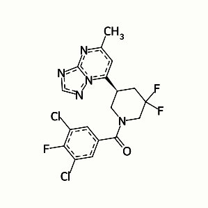 Cc1cc([C@@H]2CN(C(=O)c3cc(Cl)c(F)c(Cl)c3)CC(F)(F)C2)n2ncnc2n1